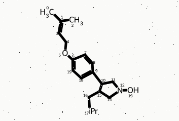 CC(C)=CCOc1ccc(C2CN(O)CC2CC(C)C)cc1